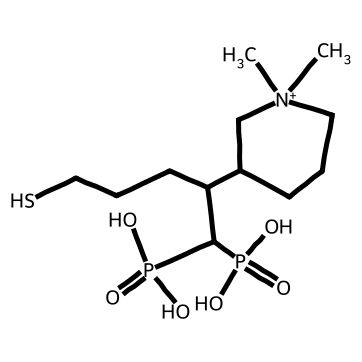 C[N+]1(C)CCCC(C(CCCS)C(P(=O)(O)O)P(=O)(O)O)C1